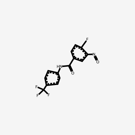 O=Nc1cc(C(=O)Nc2ccc(C(F)(F)F)cc2)ccc1F